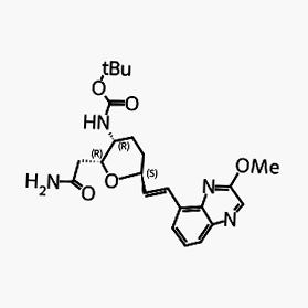 COc1cnc2cccc(C=C[C@@H]3CC[C@@H](NC(=O)OC(C)(C)C)[C@@H](CC(N)=O)O3)c2n1